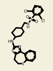 O=S(=O)(NCC1CCC(Nc2nc3c(s2)CCSc2ccccc2-3)CC1)c1c(Cl)cccc1Cl